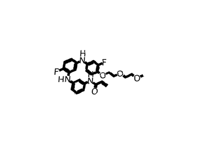 C=CC(=O)Nc1cccc(Nc2cc(Nc3ccc(OCCOCCOC)c(F)c3)ccc2F)c1